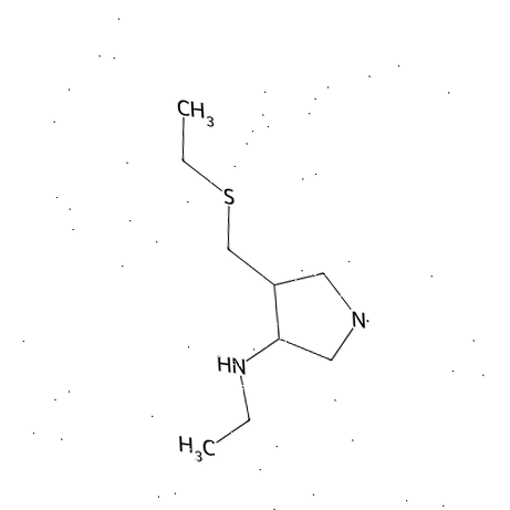 CCNC1C[N]CC1CSCC